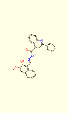 COc1cc2ccccc2c(/C=N/NC(=O)c2cc(-c3ccccc3)nc3ccccc23)c1O